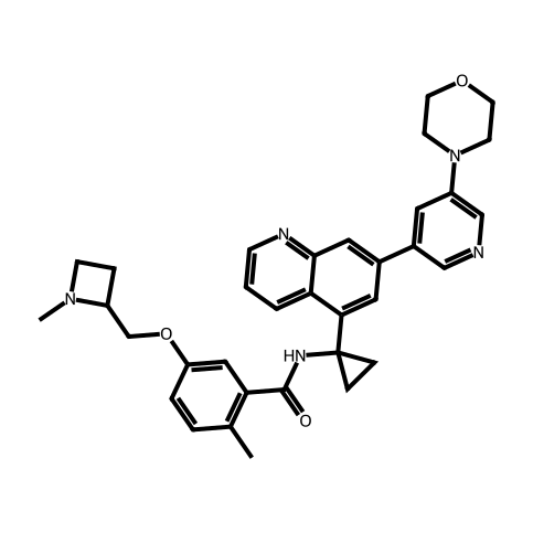 Cc1ccc(OCC2CCN2C)cc1C(=O)NC1(c2cc(-c3cncc(N4CCOCC4)c3)cc3ncccc23)CC1